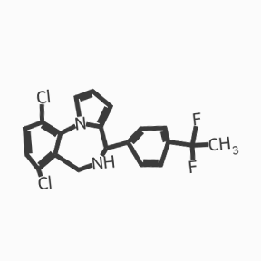 CC(F)(F)c1ccc(C2NCc3c(Cl)ccc(Cl)c3-n3cccc32)cc1